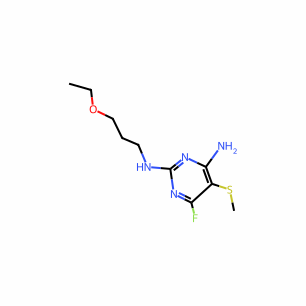 CCOCCCNc1nc(N)c(SC)c(F)n1